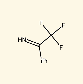 CC(C)C(=N)C(F)(F)F